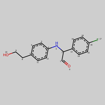 O=CC(Nc1ccc(CCO)cc1)c1ccc(F)cc1